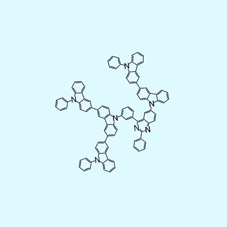 c1ccc(-c2nc(-c3cccc(-n4c5ccc(-c6ccc7c(c6)c6ccccc6n7-c6ccccc6)cc5c5cc(-c6ccc7c(c6)c6ccccc6n7-c6ccccc6)ccc54)c3)c3cc(-n4c5ccccc5c5cc(-c6ccc7c(c6)c6ccccc6n7-c6ccccc6)ccc54)ccc3n2)cc1